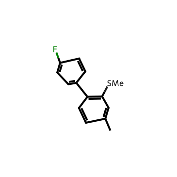 CSc1cc(C)ccc1-c1ccc(F)cc1